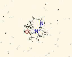 CC(=O)[O-].CCC1=NCCCC[N+]12CCCC2